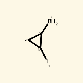 BC1CC1I